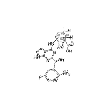 C[C@@H]1CC2CC[C@@H]1[C@H](C(=O)O)[C@H]2Nc1nc(C(=N)c2cc(F)cnc2N)nc2[nH]ccc12